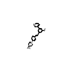 CC(=O)N1CCN(c2ccc(C=Cc3cc(F)cc(-c4cccnc4)c3)cc2)CC1